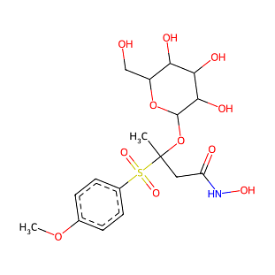 COc1ccc(S(=O)(=O)C(C)(CC(=O)NO)OC2OC(CO)C(O)C(O)C2O)cc1